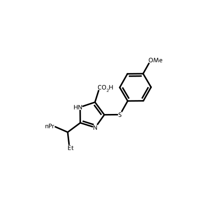 CCCC(CC)c1nc(Sc2ccc(OC)cc2)c(C(=O)O)[nH]1